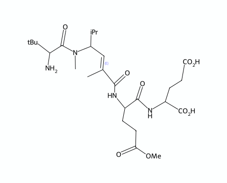 COC(=O)CCC(NC(=O)/C(C)=C/C(C(C)C)N(C)C(=O)C(N)C(C)(C)C)C(=O)NC(CCC(=O)O)C(=O)O